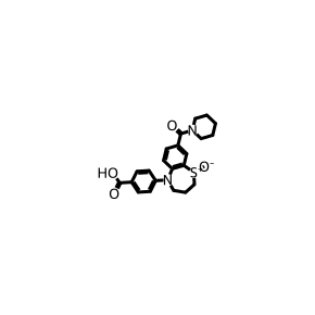 O=C(O)c1ccc(N2CCC[S+]([O-])c3cc(C(=O)N4CCCCC4)ccc32)cc1